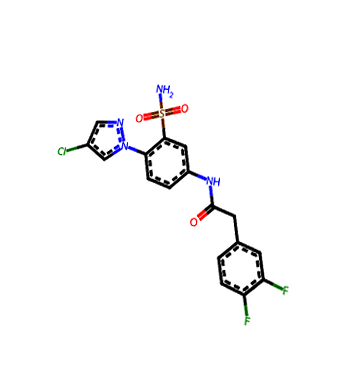 NS(=O)(=O)c1cc(NC(=O)Cc2ccc(F)c(F)c2)ccc1-n1cc(Cl)cn1